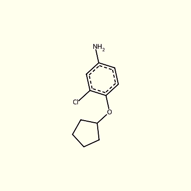 Nc1ccc(OC2CCCC2)c(Cl)c1